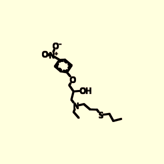 CCCSCCCN(CC)CC(O)COc1ccc([N+](=O)[O-])cc1